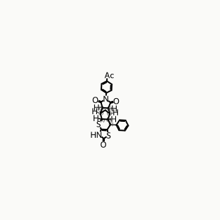 CC(=O)c1ccc(N2C(=O)[C@@H]3[C@H]4C[C@@H]([C@@H]3C2=O)[C@@H]2[C@@H](c3ccccc3)c3sc(=O)[nH]c3S[C@H]42)cc1